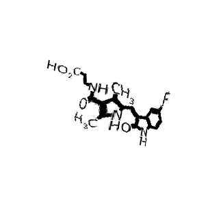 Cc1[nH]c(/C=C2\C(=O)Nc3ccc(F)cc32)c(C)c1C(=O)NCCC(=O)O